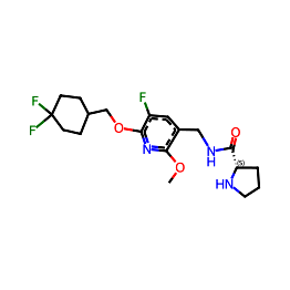 COc1nc(OCC2CCC(F)(F)CC2)c(F)cc1CNC(=O)[C@@H]1CCCN1